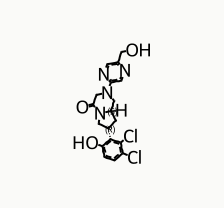 O=C1CN(c2cnc(CO)cn2)C[C@@H]2C[C@H](c3c(O)ccc(Cl)c3Cl)CN12